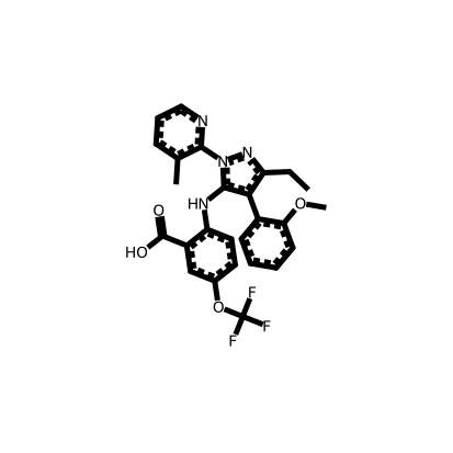 CCc1nn(-c2ncccc2C)c(Nc2ccc(OC(F)(F)F)cc2C(=O)O)c1-c1ccccc1OC